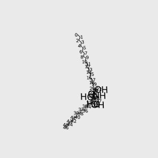 CCCCCCCCCCCCCCCCCCCCC[C@@H](O)C(=O)N[C@H](CO)[C@H](O)C(O)CCCCCCCCCCCCCC